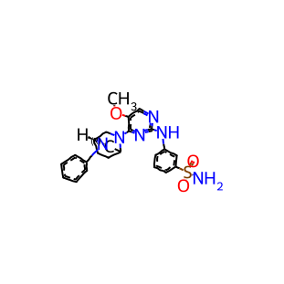 COc1cnc(Nc2cccc(S(N)(=O)=O)c2)nc1N1C[C@H]2CCC1CN2c1ccccc1